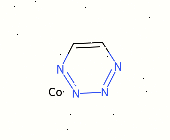 [Co].c1cnnnn1